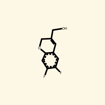 OCC1=Cc2cc(F)c(F)cc2OC1